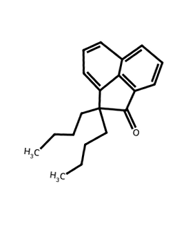 CCCCC1(CCCC)C(=O)c2cccc3cccc1c23